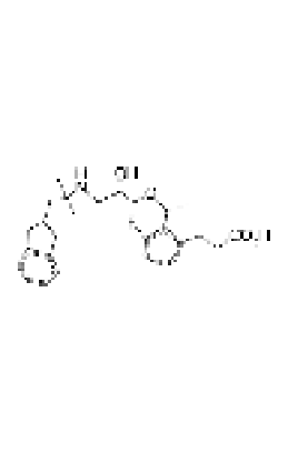 C[C@@H](OC[C@@H](O)CNC(C)(C)CC1Cc2ccccc2C1)c1c(F)cccc1CCC(=O)O